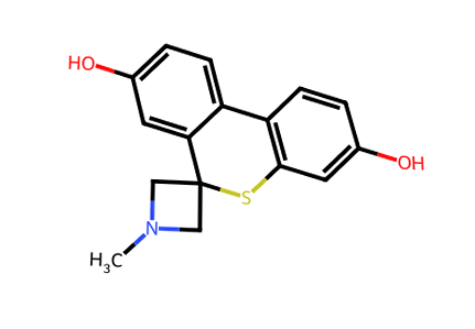 CN1CC2(C1)Sc1cc(O)ccc1-c1ccc(O)cc12